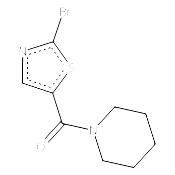 O=C(c1cnc(Br)s1)N1CCCCC1